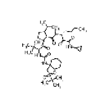 CCCC[C@@H](NC(=O)[C@@H]1C(C(C)C)CCN1C(=O)[C@@H](NC(=O)NC1(CS(=O)(=O)C(C)(C)C)CCCCC1)C(C)(C)C)C(=O)C(=O)NC1CC1